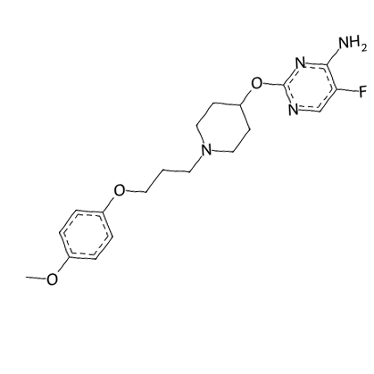 COc1ccc(OCCCN2CCC(Oc3ncc(F)c(N)n3)CC2)cc1